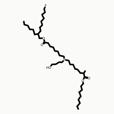 CCCCCCCCCOC(=O)C(C)CCCCCCN(CCCCO)CCCCCCCC(=O)OCC(CCCCCC)CCCCCCCCF